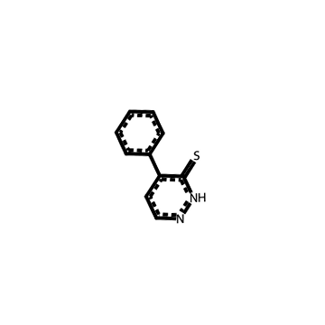 S=c1[nH]nccc1-c1ccccc1